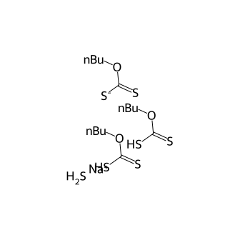 CCCCOC(=S)S.CCCCOC(=S)S.CCCCOC(=S)[S-].S.[Na+]